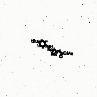 COC(=O)Cn1cc(CNC2CCC(C(C)(C)C)CC2)cn1